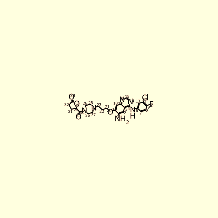 Nc1cc2c(Nc3ccc(F)c(Cl)c3)ncnc2cc1OCCCN1CCN(C(=O)C2CCC(=O)O2)CC1